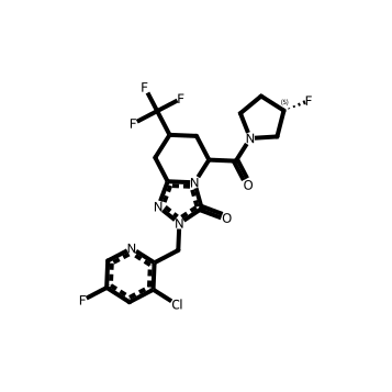 O=C(C1CC(C(F)(F)F)Cc2nn(Cc3ncc(F)cc3Cl)c(=O)n21)N1CC[C@H](F)C1